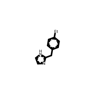 CCc1ccc(Cc2ncc[nH]2)cc1